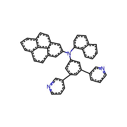 c1cncc(-c2cc(-c3cccnc3)cc(N(c3cc4ccc5cccc6ccc(c3)c4c56)c3cccc4ccccc34)c2)c1